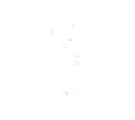 CCC(CC)C(=O)Nc1cc([C@H]2C[C@@H](NC(C)=O)C2)n[nH]1